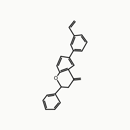 C=Cc1cccc(-c2ccc3c(c2)C(=C)CC(c2ccccc2)O3)c1